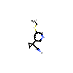 CCSc1cncc(C2(C#N)CC2)c1